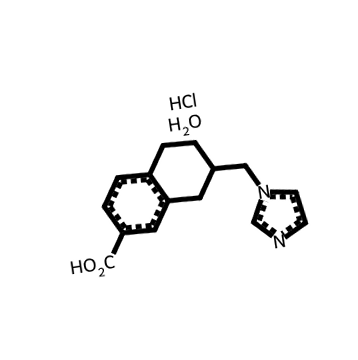 Cl.O.O=C(O)c1ccc2c(c1)CC(Cn1ccnc1)CC2